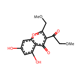 COCC(=O)c1c(COC)oc2cc(O)cc(O)c2c1=O